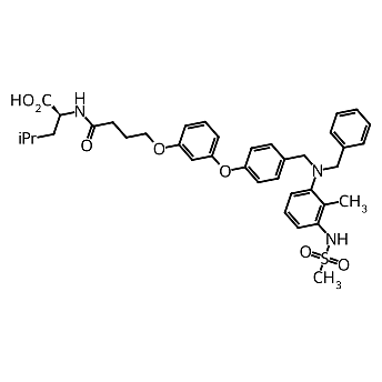 Cc1c(NS(C)(=O)=O)cccc1N(Cc1ccccc1)Cc1ccc(Oc2cccc(OCCCC(=O)N[C@@H](CC(C)C)C(=O)O)c2)cc1